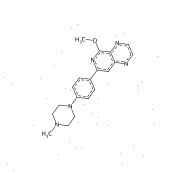 COc1nc(-c2ccc(N3CCN(C)CC3)cc2)cc2nccnc12